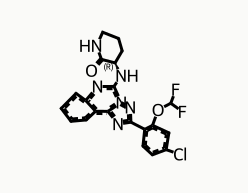 O=C1NCCC[C@H]1Nc1nc2ccccc2c2nc(-c3ccc(Cl)cc3OC(F)F)nn12